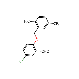 O=Cc1cc(Cl)ccc1OCc1cc(C(F)(F)F)ccc1C(F)(F)F